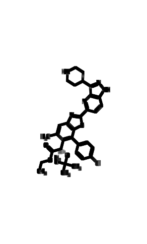 CCOC(=O)[C@@H](OC(C)(C)C)c1c(C)cc2nc(-c3ccc4[nH]nc(C5CCNCC5)c4n3)sc2c1-c1ccc(Cl)cc1